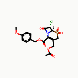 COc1ccc(COC(=O)C2=C(COC(C)=O)CS(=O)(=O)[C@@H]3[C@@H](Cl)C(=O)N23)cc1